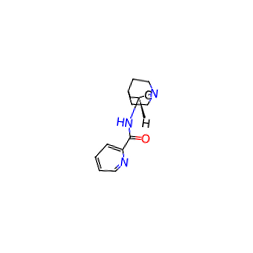 O=C(N[C@@H]1CC2CCN(CC2)C1)c1ccccn1